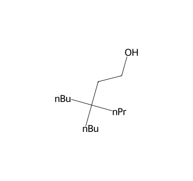 CCCCC(CCC)(CCO)CCCC